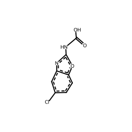 O=C(O)Nc1nc2cc(Cl)ccc2o1